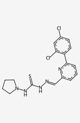 S=C(NN=Cc1cccc(-c2ccc(Cl)cc2Cl)n1)NN1CCCC1